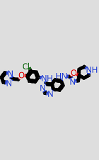 Clc1cc(Nc2ncnc3ccc(NC4=NCC5(CCNCC5)O4)cc23)ccc1OCc1ncccn1